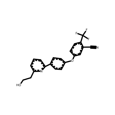 N#Cc1cc(Oc2ccc(-c3cccc(CCO)n3)cc2)ccc1C(F)(F)F